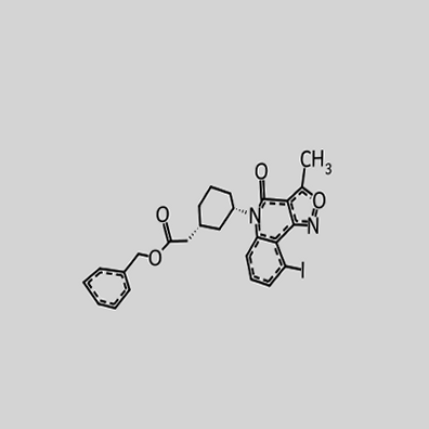 Cc1onc2c1c(=O)n([C@H]1CCC[C@@H](CC(=O)OCc3ccccc3)C1)c1cccc(I)c21